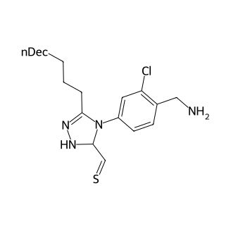 CCCCCCCCCCCCCC1=NNC(C=S)N1c1ccc(CN)c(Cl)c1